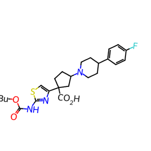 CC(C)(C)OC(=O)Nc1nc(C2(C(=O)O)CCC(N3CCC(c4ccc(F)cc4)CC3)C2)cs1